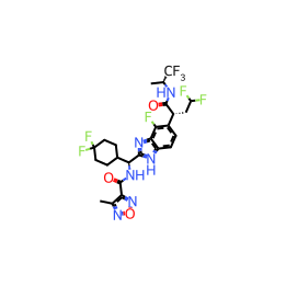 Cc1nonc1C(=O)N[C@H](c1nc2c(F)c([C@@H](CC(F)F)C(=O)N[C@@H](C)C(F)(F)F)ccc2[nH]1)C1CCC(F)(F)CC1